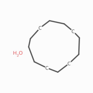 C1CCCCCCCCCCC1.O